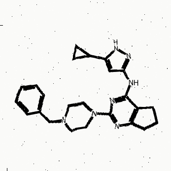 c1ccc(CN2CCN(c3nc4c(c(Nc5cc(C6CC6)[nH]n5)n3)CCC4)CC2)cc1